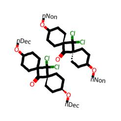 CCCCCCCCCCOC1CCC2(CC1)C(=O)[C@]1(CC[C@H](OCCCCCCCCCC)CC1)C2(Cl)Cl.CCCCCCCCCOC1CC[C@]2(CC1)C(=O)[C@@]1(CCC(OCCCCCCCCC)CC1)C2(Cl)Cl